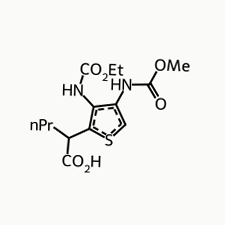 CCCC(C(=O)O)c1scc(NC(=O)OC)c1NC(=O)OCC